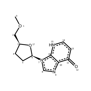 COC[C@@H]1CC[C@H](n2cnc3c(=O)cc[nH]c32)O1